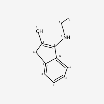 CCNC1=C(O)Cc2ccccc21